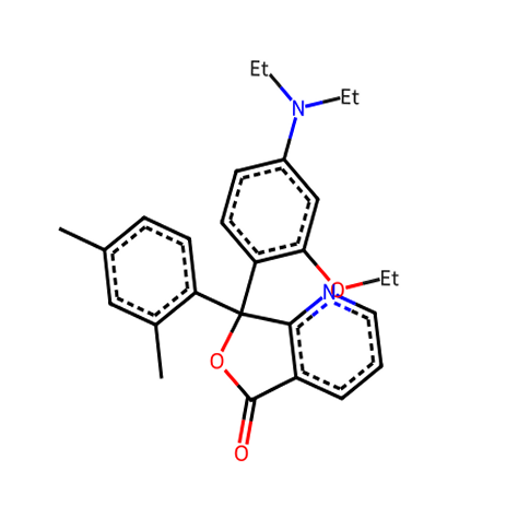 CCOc1cc(N(CC)CC)ccc1C1(c2ccc(C)cc2C)OC(=O)c2cccnc21